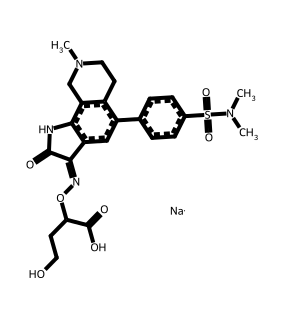 CN1CCc2c(-c3ccc(S(=O)(=O)N(C)C)cc3)cc3c(c2C1)NC(=O)C3=NOC(CCO)C(=O)O.[Na]